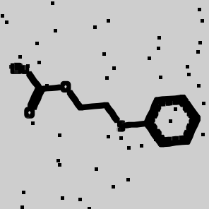 CC(C)(C)C(=O)OCCSc1ccccc1